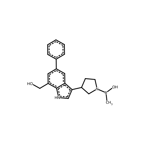 CB(O)N1CCC(c2c[nH]c3c(CO)cc(-c4ccccc4)cc23)C1